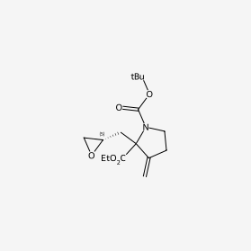 C=C1CCN(C(=O)OC(C)(C)C)C1(C[C@H]1CO1)C(=O)OCC